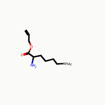 C=CCOC(=O)C(N)CCCCNC(C)=O